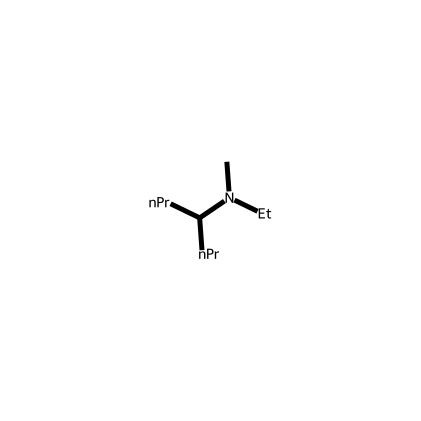 CCCC(CCC)N(C)CC